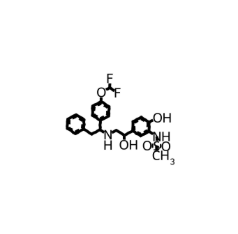 CS(=O)(=O)Nc1cc(C(O)CNC(Cc2ccccc2)c2ccc(OC(F)F)cc2)ccc1O